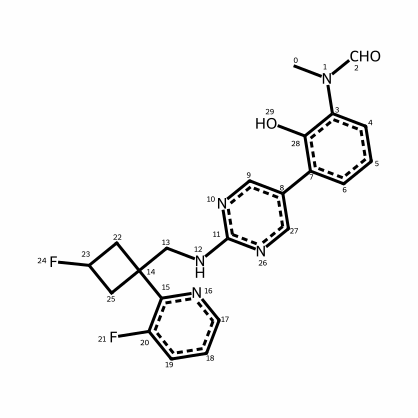 CN(C=O)c1cccc(-c2cnc(NCC3(c4ncccc4F)CC(F)C3)nc2)c1O